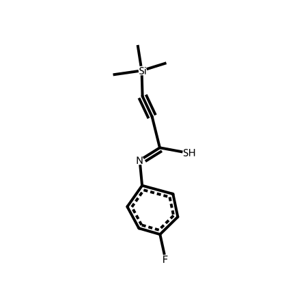 C[Si](C)(C)C#CC(S)=Nc1ccc(F)cc1